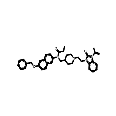 C=C(C)n1c(=O)n(CCN2CCC(CN(C(=O)CC)c3ccc4cc(OCc5ccccc5)ccc4c3)CC2)c2ccccc21